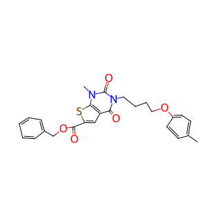 Cc1ccc(OCCCCn2c(=O)c3cc(C(=O)OCc4ccccc4)sc3n(C)c2=O)cc1